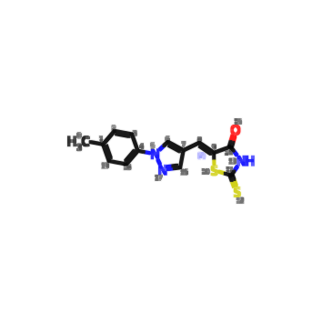 Cc1ccc(-n2cc(/C=C3\SC(=S)NC3=O)cn2)cc1